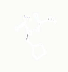 CC(=O)O[C@@H](CC1CCCC1)C(N)=O